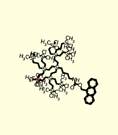 C[SiH](Cl)CCC[Si](CC[Si](C)(C)Cl)(CC[Si](C)(C)Cl)CC[Si](CCCCNC(=O)OCc1c2ccccc2cc2ccccc12)(CC[Si](CCC[SiH](C)Cl)(CC[Si](C)(C)Cl)CC[Si](C)(C)Cl)CC[Si](CC[Si](C)(C)Cl)(CC[Si](C)(C)Cl)CC[Si](C)(C)Cl